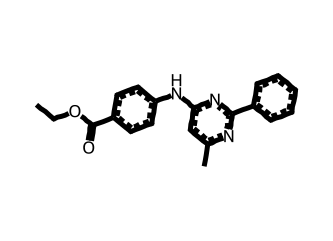 CCOC(=O)c1ccc(Nc2cc(C)nc(-c3ccccc3)n2)cc1